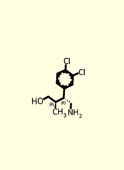 C[C@@H](CO)[C@@H](CN)c1ccc(Cl)c(Cl)c1